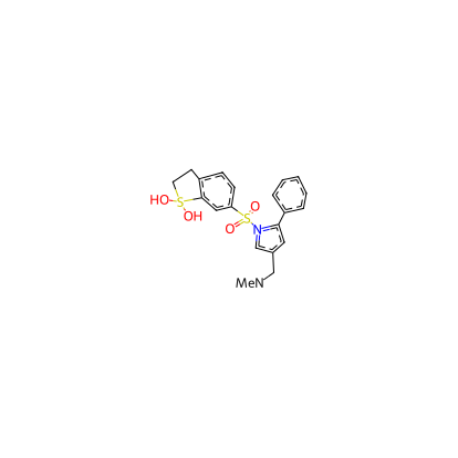 CNCc1cc(-c2ccccc2)n(S(=O)(=O)c2ccc3c(c2)S(O)(O)CC3)c1